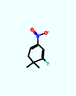 CC1(C)CC=C([N+](=O)[O-])C=C1F